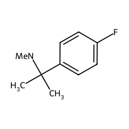 CNC(C)(C)c1ccc(F)cc1